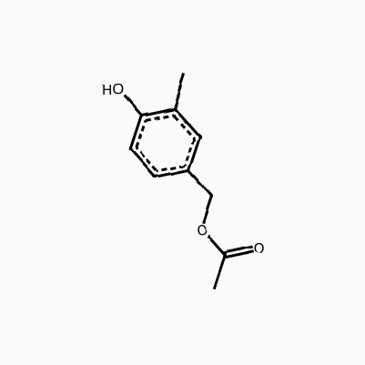 CC(=O)OCc1ccc(O)c(C)c1